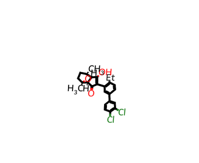 CCc1ccc(-c2ccc(Cl)c(Cl)c2)cc1C1=C(O)[C@H]2[C@@H](C1=O)[C@]1(C)CC[C@@]2(C)O1